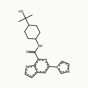 CC(C)(O)C1CCC(NC(=O)c2nc(-n3ccnc3)cc3ccsc23)CC1